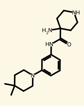 CC1(C)CCN(c2cccc(NC(=O)C3(N)CCNCC3)c2)CC1